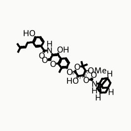 CO[C@@H]1[C@@H](OC(=O)NC23C[C@H]4C[C@@H](C2)C[C@@H](C3)C4)[C@@H](O)[C@H](Oc2ccc3c(O)c(NC(=O)c4ccc(O)c(CC=C(C)C)c4)c(=O)oc3c2C)OC1(C)C